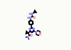 CN(C)C(=O)C1(c2cc(N3CCOCC3)nc(-c3ccc(NC(=O)NC4CC4)cc3)n2)CC1